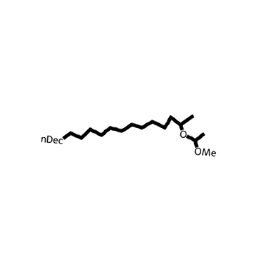 CCCCCCCCCCCCCCCCCCCCCC(C)OC(C)OC